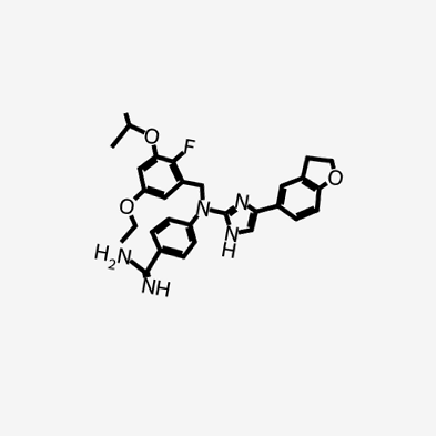 CCOc1cc(CN(c2ccc(C(=N)N)cc2)c2nc(-c3ccc4c(c3)CCO4)c[nH]2)c(F)c(OC(C)C)c1